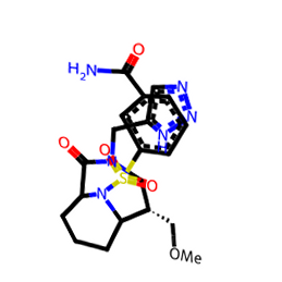 COC[C@H]1CN(Cc2cnn[nH]2)C(=O)C2CCCC1N2S(=O)(=O)c1cccc(C(N)=O)c1